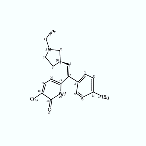 CC(C)CN1CC[C@H](C=C(c2ccc(C(C)(C)C)cc2)c2ccc(Cl)c(=O)[nH]2)C1